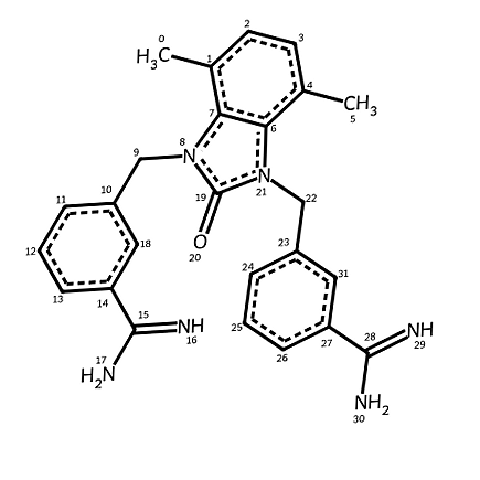 Cc1ccc(C)c2c1n(Cc1cccc(C(=N)N)c1)c(=O)n2Cc1cccc(C(=N)N)c1